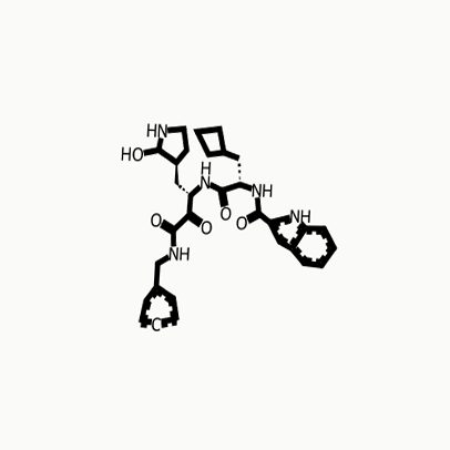 O=C(NCc1ccccc1)C(=O)[C@H](C[C@@H]1CCNC1O)NC(=O)[C@H](CC1CCC1)NC(=O)c1cc2ccccc2[nH]1